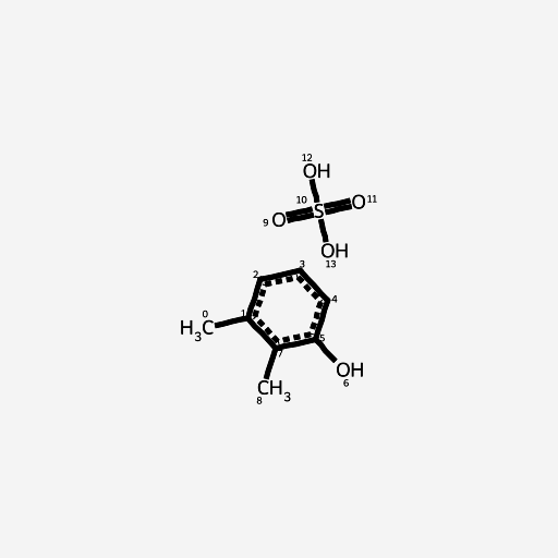 Cc1cccc(O)c1C.O=S(=O)(O)O